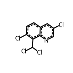 Clc1cnc2c(C(Cl)Cl)c(Cl)ccc2c1